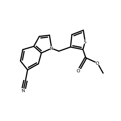 COC(=O)c1sccc1Cn1ccc2ccc(C#N)cc21